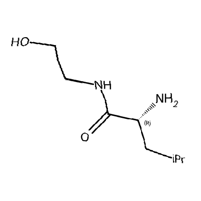 CC(C)C[C@@H](N)C(=O)NCCO